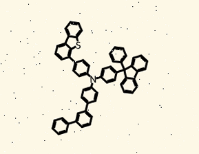 c1ccc(-c2cccc(-c3ccc(N(c4ccc(-c5cccc6c5sc5ccccc56)cc4)c4ccc(C5(c6ccccc6)c6ccccc6-c6ccccc65)cc4)cc3)c2)cc1